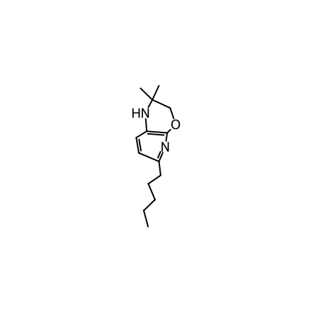 CCCCCc1ccc2c(n1)OCC(C)(C)N2